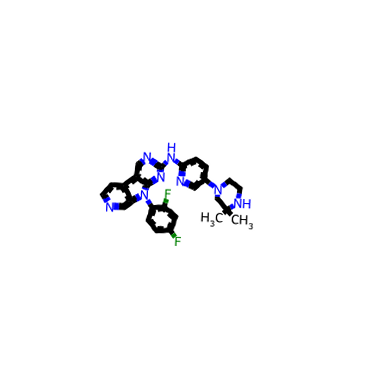 CC1(C)CN(c2ccc(Nc3ncc4c5ccncc5n(-c5ccc(F)cc5F)c4n3)nc2)CCN1